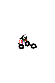 Cc1ccccc1P(=O)(c1ccccc1C)c1ccc(-c2ccccc2)cc1Br